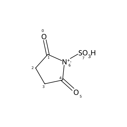 O=C1CCC(=O)[N+]1S(=O)(=O)O